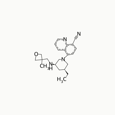 CC[C@H]1C[C@@H](NCC2(C)COC2)CN(c2ccc(C#N)c3ncccc23)C1